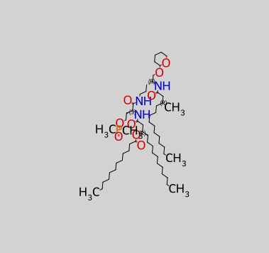 CCCCCCCCCCCC(=O)O[C@H](CCCCCCCCCCC)CC(=O)N[C@@H](CCOP(C)(C)=O)C(=O)NCCC[C@H](COC1CCCCO1)NC(=O)C[C@H](C)CCCCCCCCCCC